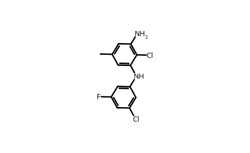 Cc1cc(N)c(Cl)c(Nc2cc(F)cc(Cl)c2)c1